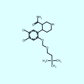 C[Si](C)(C)CCOCOc1cc(Cl)c(Cl)cc1C1CCNCC1C(N)=O